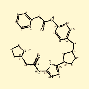 O=C(Cc1ccccn1)Nc1ccc(CC2CCC(c3nnc(NC(=O)C[C@H]4CCCO4)s3)C2)nn1